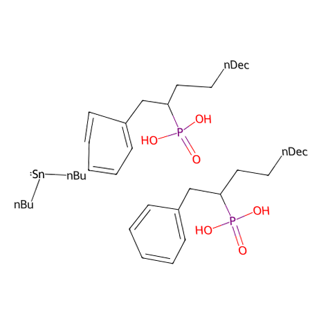 CCCCCCCCCCCCC(Cc1ccccc1)P(=O)(O)O.CCCCCCCCCCCCC(Cc1ccccc1)P(=O)(O)O.CCC[CH2][Sn][CH2]CCC